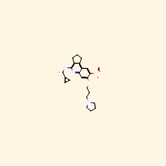 COc1cc2c3c(c(N[C@H](C)C4CC4)nc2cc1OCCCN1CCCC1)CCC3.O=CO